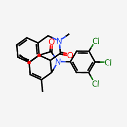 CC1=CC(C)C2C(=O)N(c3cc(Cl)c(Cl)c(Cl)c3)C1C2C(=O)N(C)Cc1ccccc1